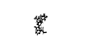 Cc1cc2ncnc(NC3CC3)c2cc1-c1cccc(CN(C2CC2)S(=O)(=O)c2c(F)c(F)c(F)c(F)c2F)c1